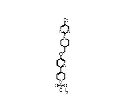 CCc1cnc(N2CCC(COc3ccc(C4=CCN(S(C)(=O)=O)CC4)nc3)CC2)nc1